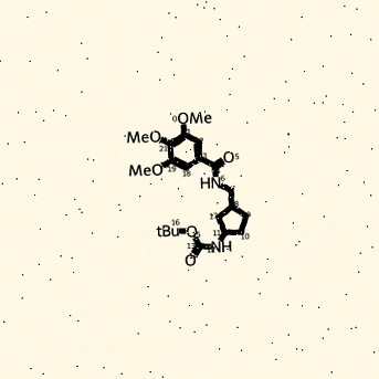 COc1cc(C(=O)NCC2CCC(NC(=O)OC(C)(C)C)C2)cc(OC)c1OC